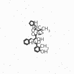 Cc1c(O)cccc1C(=O)N[C@@H](Cc1ccccc1)[C@H](O)C(=O)N1CSC(C)(C)[C@H]1C(=O)NC1CCCC1